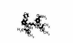 CCc1nc(C)oc1Nc1nc2cc(C(N)=O)ccc2n1C/C=C/Cn1c(Nc2oc(C)nc2CC)nc2cccc(CN3CCOCC3)c21